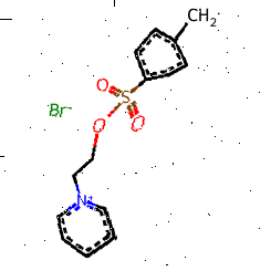 [Br-].[CH2]c1ccc(S(=O)(=O)OCC[n+]2ccccc2)cc1